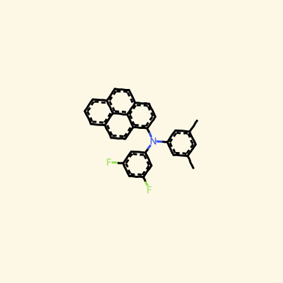 Cc1cc(C)cc(N(c2cc(F)cc(F)c2)c2ccc3ccc4cccc5ccc2c3c45)c1